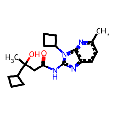 Cc1ccc2nc(NC(=O)CC(C)(O)C3CCC3)n(C3CCC3)c2n1